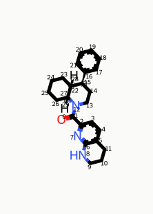 O=C(c1ccc2c(n1)NCCC2)N1CC[C@H](c2ccccc2)[C@H]2CCCC[C@H]21